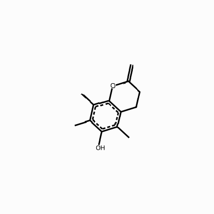 C=C1CCc2c(C)c(O)c(C)c(C)c2O1